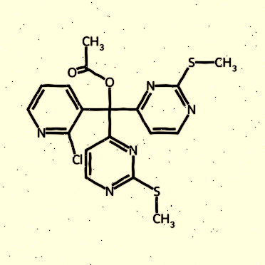 CSc1nccc(C(OC(C)=O)(c2ccnc(SC)n2)c2cccnc2Cl)n1